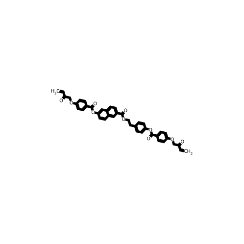 C=CC(=O)COc1ccc(C(=O)Oc2ccc(CCOC(=O)c3ccc4cc(OC(=O)c5ccc(OCC(=O)C=C)cc5)ccc4c3)cc2)cc1